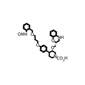 COc1ccccc1COCCCOc1ccc(C2CCN(C(=O)O)C[C@H]2OC[C@H]2CNc3ccccc3O2)cc1